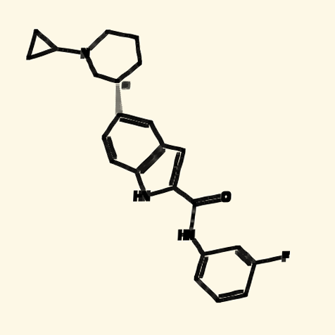 O=C(Nc1cccc(F)c1)c1cc2cc([C@H]3CCCN(C4CC4)C3)ccc2[nH]1